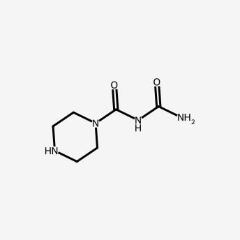 NC(=O)NC(=O)N1CCNCC1